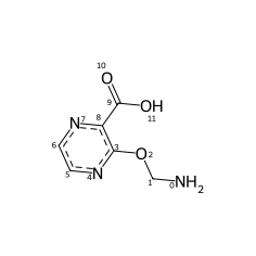 NCOc1nccnc1C(=O)O